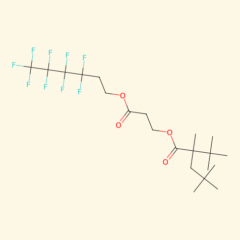 CC(C)(C)CC(C)(C(=O)OCCC(=O)OCCC(F)(F)C(F)(F)C(F)(F)C(F)(F)F)C(C)(C)C